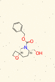 O=C(OCc1ccccc1)N1C[C@]2(CCO2)CC[C@H]1CO